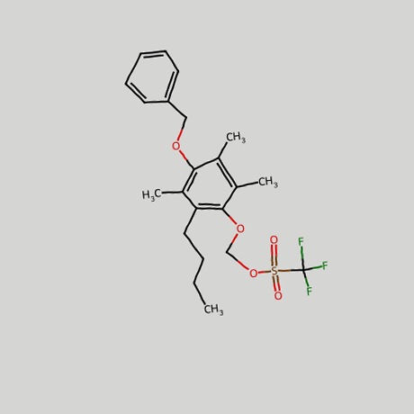 CCCCc1c(C)c(OCc2ccccc2)c(C)c(C)c1OCOS(=O)(=O)C(F)(F)F